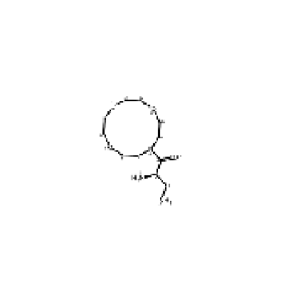 CC[C@@H](N)C(=O)N1CCOCCOCCOCC1